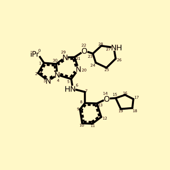 CC(C)c1cnn2c(NCc3ccccc3OC3CCCC3)nc(OC3CCCNC3)nc12